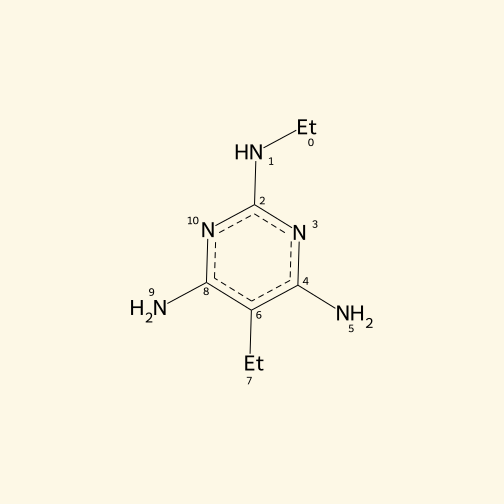 CCNc1nc(N)c(CC)c(N)n1